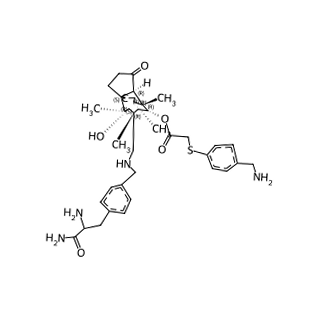 C[C@@H]1CC[C@@]23CCC(=O)[C@H]2[C@]1(C)[C@H](OC(=O)CSc1ccc(CN)cc1)C[C@](C)(CNCc1ccc(CC(N)C(N)=O)cc1)[C@@H](O)[C@@H]3C